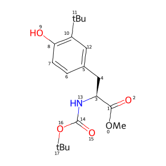 COC(=O)[C@H](Cc1ccc(O)c(C(C)(C)C)c1)NC(=O)OC(C)(C)C